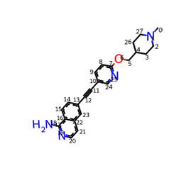 CN1CCC(COc2ccc(C#Cc3ccc4c(N)nccc4c3)cn2)CC1